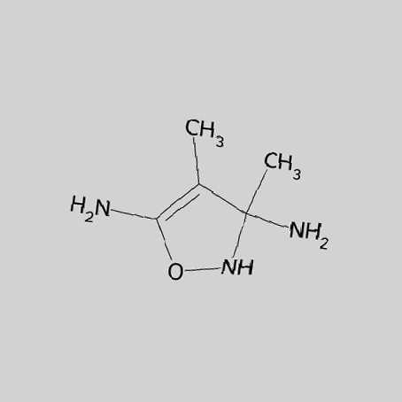 CC1=C(N)ONC1(C)N